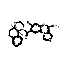 Nc1nc2cc(F)c(C(=O)N3CCO[C@@H]4CCc5ccccc5[C@@H]43)cc2n2cncc12